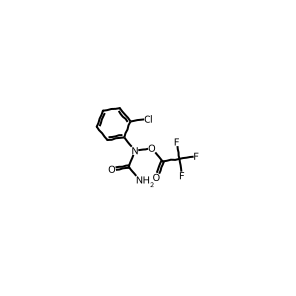 NC(=O)N(OC(=O)C(F)(F)F)c1ccccc1Cl